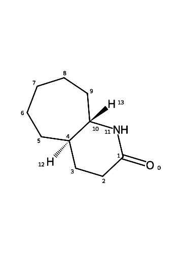 O=C1CC[C@H]2CCCCC[C@@H]2N1